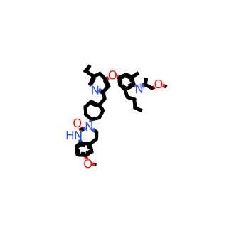 CCCCc1cc(OC2=CC(CC3=CCCC(N4CCc5cc(OC)ccc5NC4=O)CC3)=NC=C(CC)C2)cc(C)c1/N=C(\C)COC